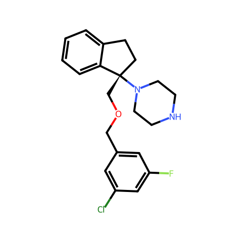 Fc1cc(Cl)cc(COC[C@]2(N3CCNCC3)CCc3ccccc32)c1